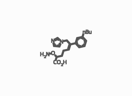 CCCCc1cccc(/C(=C/CCC(ON)C(=O)O)Cn2ccnc2)c1